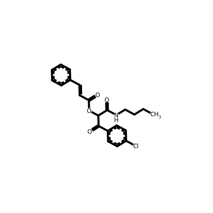 CCCCNC(=O)C(OC(=O)C=Cc1ccccc1)C(=O)c1ccc(Cl)cc1